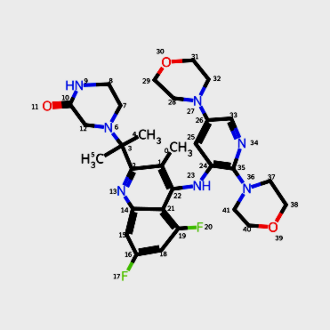 Cc1c(C(C)(C)N2CCNC(=O)C2)nc2cc(F)cc(F)c2c1Nc1cc(N2CCOCC2)cnc1N1CCOCC1